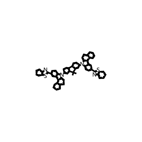 CC1(C)c2cc(-n3c4ccc(-c5nc6ccccc6s5)cc4c4c5ccccc5ccc43)ccc2-c2ccc(-n3c4ccc(-c5nc6ccccc6s5)cc4c4c5ccccc5ccc43)cc21